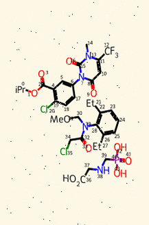 CC(C)OC(=O)c1cc(-n2c(=O)cc(C(F)(F)F)n(C)c2=O)ccc1Cl.CCc1cccc(CC)c1N(COC)C(=O)CCl.O=C(O)CNCP(=O)(O)O